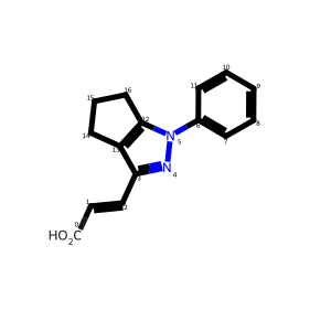 O=C(O)C=Cc1nn(-c2ccccc2)c2c1CCC2